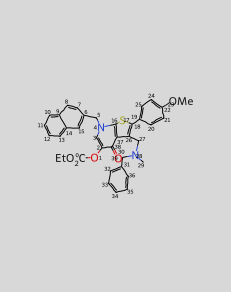 CCOC(=O)Oc1cn(Cc2ccc3ccccc3c2)c2sc(-c3ccc(OC)cc3)c(CN(C)Cc3ccccc3)c2c1=O